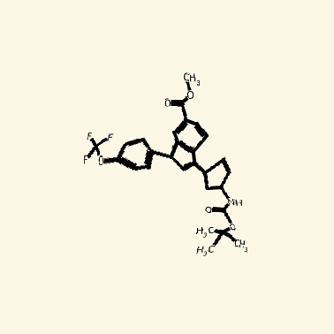 COC(=O)c1ccc2c(c1)C(c1ccc(OC(F)(F)F)cc1)C=C2C1CCC(NC(=O)OC(C)(C)C)C1